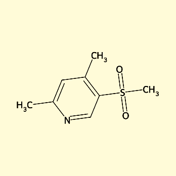 Cc1cc(C)c(S(C)(=O)=O)cn1